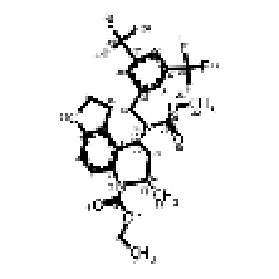 CCOC(=O)N1c2ccc3c(c2[C@@H](N(Cc2cc(C(F)(F)F)cc(C(F)(F)F)c2)C(=O)OC)C[C@H]1C)CCO3